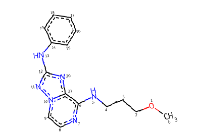 COCCCNc1nccn2nc(Nc3ccccc3)nc12